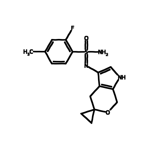 Cc1ccc(S(N)(=O)=Nc2c[nH]c3c2CC2(CC2)OC3)c(F)c1